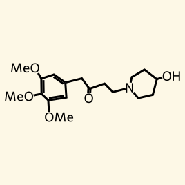 COc1cc(CC(=O)CCN2CCC(O)CC2)cc(OC)c1OC